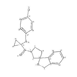 O=C(N1CCC2(C1)OCc1ccccc12)C1(Sc2ccc(Cl)cc2)CC1